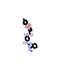 Cc1ccc(S(=O)(=O)n2ccc(C(=O)NC3CCC(Nc4nc5c(c(N(C)C)n4)CCCC5)CC3)c2)cc1